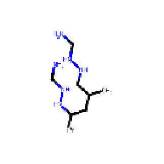 CC(CNNCN)CC(NNCN)C(C)C